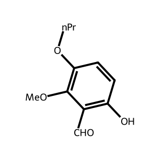 CCCOc1ccc(O)c(C=O)c1OC